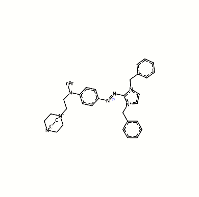 CCCN(CC[N+]12CCN(CC1)CC2)c1ccc(/N=N/c2n(Cc3ccccc3)cc[n+]2Cc2ccccc2)cc1